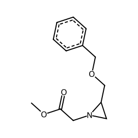 COC(=O)CN1CC1COCc1ccccc1